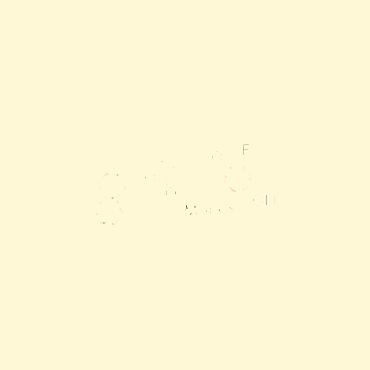 COC(=O)c1cc(O[C@H]2CC[C@@](C)(C(=O)OCc3cccc4ccccc34)CC2)c(F)cc1O